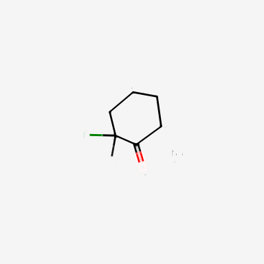 O=C([O-])C1(F)CCCCC1=O.[Na+]